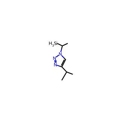 CC(C)c1cn(C(C)[SiH3])nn1